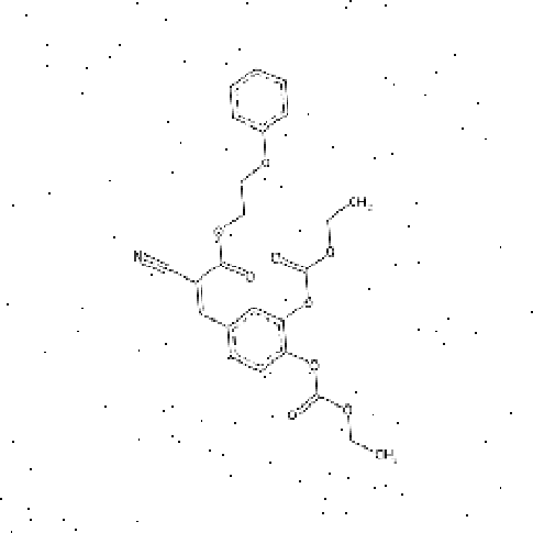 CCOC(=O)Oc1ccc(C=C(C#N)C(=O)OCCOc2ccccc2)cc1OC(=O)OCC